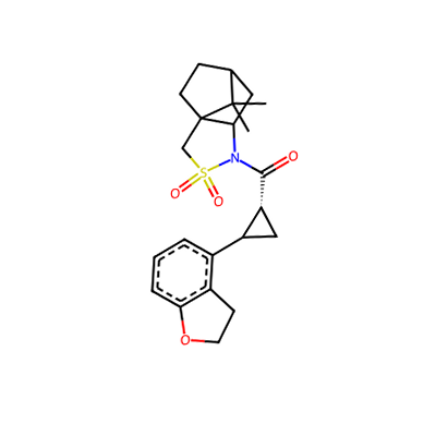 CC1(C)C2CCC13CS(=O)(=O)N(C(=O)[C@@H]1CC1c1cccc4c1CCO4)C3C2